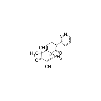 CC1(C)C(=O)C(C#N)=C[C@@]2(P)C(=O)N(c3cccnn3)CC=C12